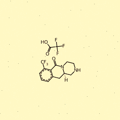 O=C(O)C(F)(F)F.O=C1c2c(cccc2C(F)(F)F)C[C@@H]2CNCCN12